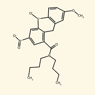 CCCCN(CCCC)C(=O)c1cc([N+](=O)[O-])cc2c1Cc1cc(OC)ccc1[S+]2[O-]